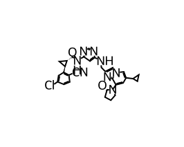 N#Cc1ccc(Cl)cc1[C@H]1C[C@@H]1C(=O)Nc1cc(NCc2cn3cc(C4CC4)cc(N4CCCC4=O)c3n2)ncn1